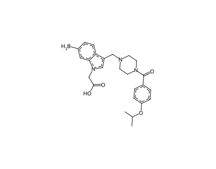 Bc1ccc2c(CN3CCN(C(=O)c4ccc(OC(C)C)cc4)CC3)cn(CC(=O)O)c2c1